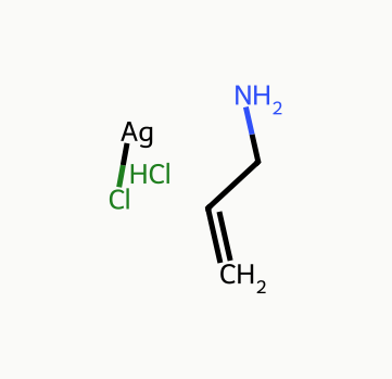 C=CCN.Cl.[Cl][Ag]